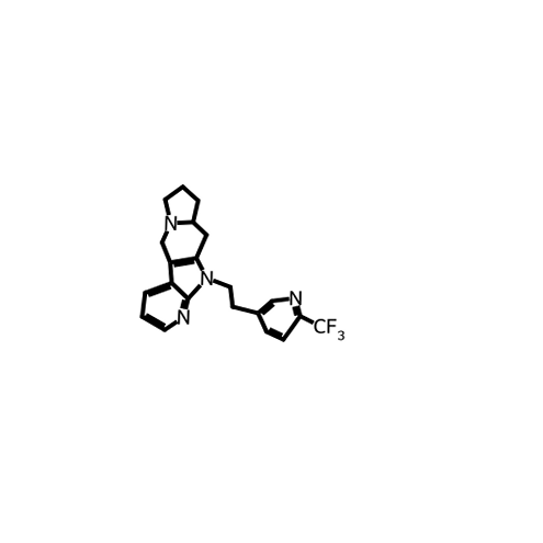 FC(F)(F)c1ccc(CCn2c3c(c4cccnc42)CN2CCCC2C3)cn1